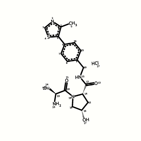 Cc1ncsc1-c1ccc(CNC(=O)[C@@H]2C[C@H](O)CN2C(=O)[C@@H](N)C(C)(C)C)cc1.Cl